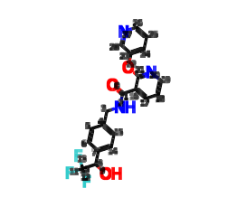 O=C(NCc1ccc(C(O)C(F)(F)F)cc1)c1cccnc1Oc1cccnc1